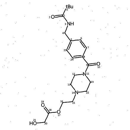 CC(C)(C)C(=O)NCc1ccc(C(=O)N2CCN(CCOC(=O)CO)CC2)cc1